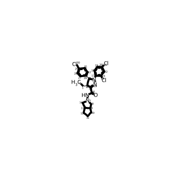 CC[C@H]1C(C(=O)NN2CC3CCCC3C2)=NN(c2ccc(Cl)cc2Cl)[C@H]1c1ccc(Cl)cc1